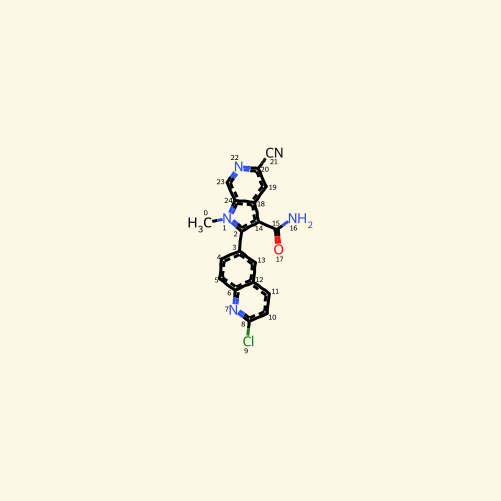 Cn1c(-c2ccc3nc(Cl)ccc3c2)c(C(N)=O)c2cc(C#N)ncc21